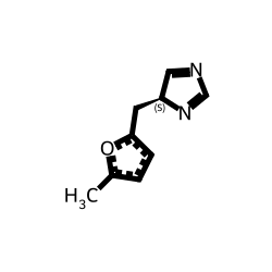 Cc1ccc(C[C@H]2C=NC=N2)o1